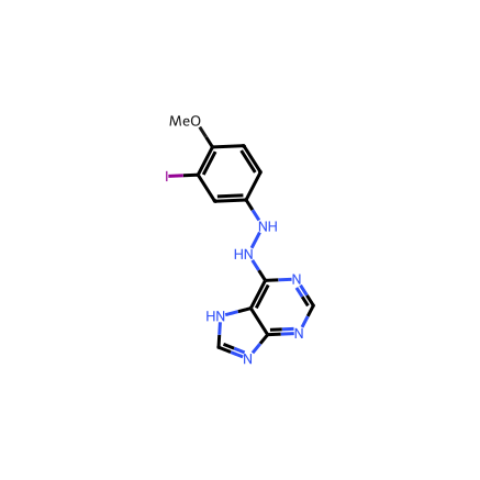 COc1ccc(NNc2ncnc3nc[nH]c23)cc1I